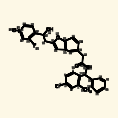 Cc1cc(Cl)ccc1C(NC(=O)Cc1ccc2oc(CC(O)c3cc[n+]([O-])cc3F)cc2c1)c1ccccc1